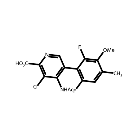 COc1c(C)cc(F)c(-c2cnc(C(=O)O)c(Cl)c2NC(C)=O)c1F